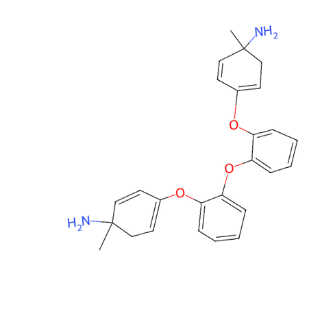 CC1(N)C=CC(Oc2ccccc2Oc2ccccc2OC2=CCC(C)(N)C=C2)=CC1